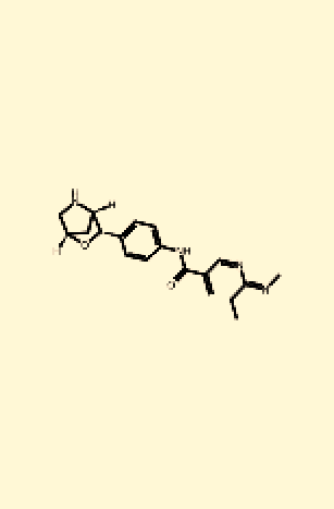 C=C(/C=N\C(CC)=N/C)C(=O)Nc1ccc([C@H]2O[C@@H]3CN[C@H]2C3)cc1